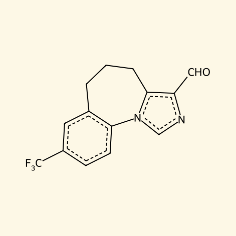 O=Cc1ncn2c1CCCc1cc(C(F)(F)F)ccc1-2